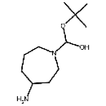 CC(C)(C)OC(O)N1CCCC(N)CC1